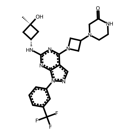 C[C@]1(O)C[C@H](Nc2nc(N3CC(N4CCNC(=O)C4)C3)c3cnn(-c4cccc(C(F)(F)F)c4)c3n2)C1